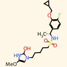 COC1=CN(CCCCCS(=O)(=O)N[C@H](C)c2ccc(F)c(OCC3CC3)c2)C(O)N1